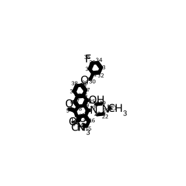 COC(=O)c1coc2c1c(C(c1ccncc1)N1CCN(C)CC1)c(O)c1cc(OCc3cccc(F)c3)ccc12